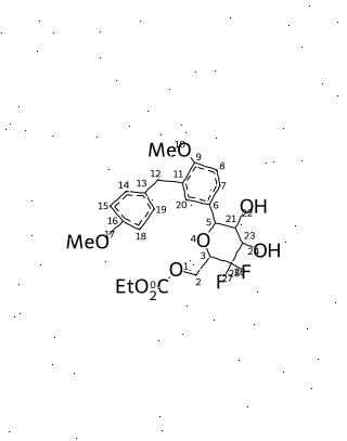 CCOC(=O)OCC1OC(c2ccc(OC)c(Cc3ccc(OC)cc3)c2)C(O)C(O)C1(F)F